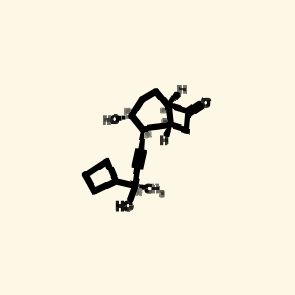 C[C@@](O)(C#C[C@@H]1[C@H]2CC(=O)[C@H]2CC[C@H]1O)C1CCC1